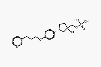 N[C@]1(COP(=O)(O)O)CC[C@@H](c2ccc(OCCCc3cccnc3)cc2)C1